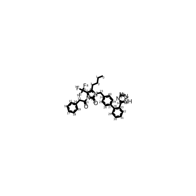 CCCCc1c(C(F)(F)F)n(C(=O)Cc2ccccc2)c(=O)n1Cc1ccc(-c2ccccc2-c2nnn[nH]2)cc1